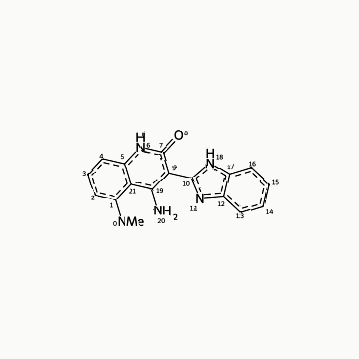 CNc1cccc2[nH]c(=O)c(-c3nc4ccccc4[nH]3)c(N)c12